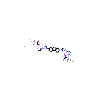 COC(=O)N[C@H](C(=O)N1CCC[C@H]1c1ncc(-c2ccc3c(c2)Cc2cc(-c4cnc([C@@H]5CCCN5C(=O)[C@H]([C@@H](C)OC)N(C)C(=O)O)[nH]4)ccc2-3)[nH]1)[C@@H](C)OC